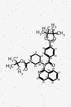 CC(C)(C)OC(=O)N1CCC[C@@H](N(C(=O)c2ccc(B3OC(C)(C)C(C)(C)O3)cc2)c2nccc3ccccc23)C1